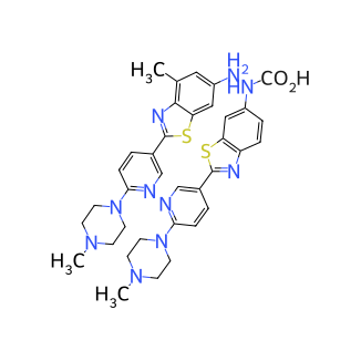 CN1CCN(c2ccc(-c3nc4ccc(NC(=O)O)cc4s3)cn2)CC1.Cc1cc(N)cc2sc(-c3ccc(N4CCN(C)CC4)nc3)nc12